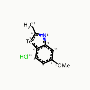 COc1ccc2[te]c(C)nc2c1.Cl